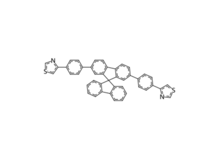 c1ccc2c(c1)-c1ccccc1C21c2cc(-c3ccc(-c4cscn4)cc3)ccc2-c2ccc(-c3ccc(-c4cscn4)cc3)cc21